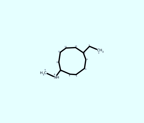 CCC1CCCCC(NC)CCCC1